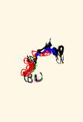 CC(C)(C)C(=O)OCOP(=O)(OCOC(=O)C(C)(C)C)C(F)(F)c1ccc2sc(C(=O)N[C@H]3CCCC[C@H]4CC[C@@H](C(=O)N5C[C@H](C6CCCCC6)[C@@H](C#N)C5)N4C3=O)cc2c1